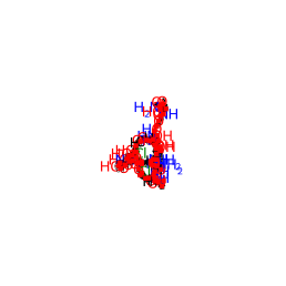 CN[C@H](CC(C)C)C(=O)N[C@H]1C(=O)N[C@@H](CC(N)=O)C(=O)N[C@H]2C(=O)N[C@@H](C(N)=O)c3ccc(O)c(c3)-c3c(O)cc(O)cc3[C@H](C(=O)NCCOCCOCC(=O)Nc3ccc(OC)c(C(N)=O)c3O)NC(=O)C[C@H](O)c3ccc(c(Cl)c3)Oc3cc2cc(c3O[C@@H]2O[C@@H](CO)[C@@H](O)[C@H](O)[C@@H]2O[C@@H]2C[C@](C)(N)[C@H](O)[C@@H](C)O2)Oc2ccc(cc2Cl)[C@H]1O